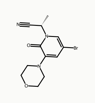 C[C@@H](C#N)n1cc(Br)cc(N2CCOCC2)c1=O